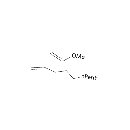 C=CCCCCCCCC.C=COC